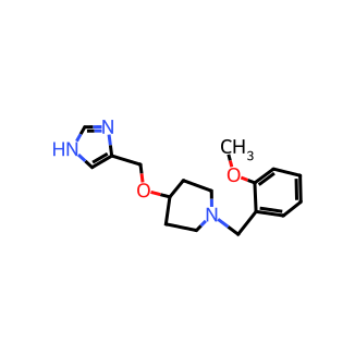 COc1ccccc1CN1CCC(OCc2c[nH]cn2)CC1